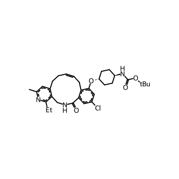 CCc1nc(C)cc2c1CNC(=O)c1cc(Cl)cc(O[C@H]3CC[C@H](NC(=O)OC(C)(C)C)CC3)c1C/C=C\CC2